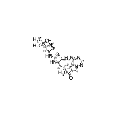 CC(=O)C1CN2N=CN=C(N)C2=C1c1ccc(NC(=O)Nc2cc(C(C)(C)C)no2)cc1